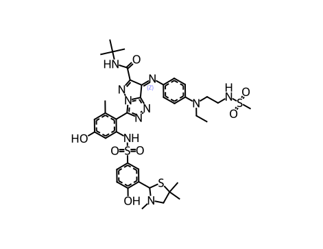 CCN(CCNS(C)(=O)=O)c1ccc(/N=C2/C(C(=O)NC(C)(C)C)=Nn3c2nnc3-c2c(C)cc(O)cc2NS(=O)(=O)c2ccc(O)c(C3SC(C)(C)CN3C)c2)cc1